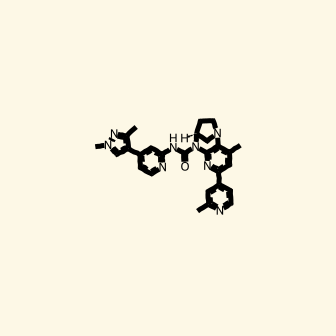 Cc1cc(-c2cc(C)c3c(n2)N(C(=O)Nc2cc(-c4cn(C)nc4C)ccn2)[C@H]2CCN3C2)ccn1